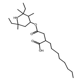 CCCCCCCCC(CC(=O)OC1CC(C)(CC)NC(C)(CC)C1C)C(=O)O